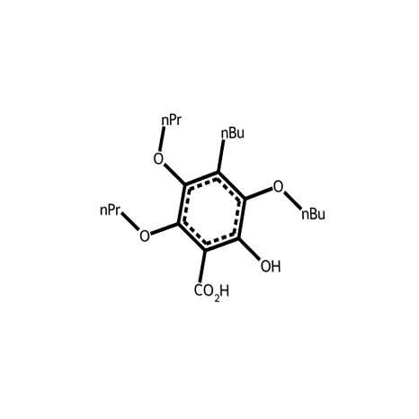 CCCCOc1c(O)c(C(=O)O)c(OCCC)c(OCCC)c1CCCC